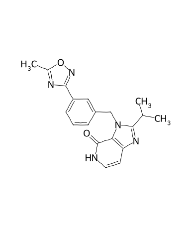 Cc1nc(-c2cccc(Cn3c(C(C)C)nc4cc[nH]c(=O)c43)c2)no1